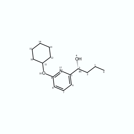 CCC[C@@H](O)c1cccc(OC2CCCCC2)n1